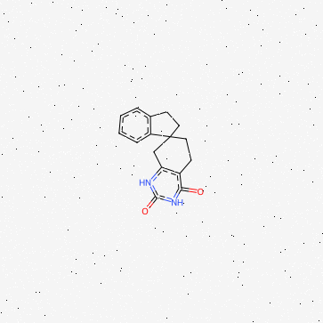 O=c1[nH]c2c(c(=O)[nH]1)CCC1(CCc3ccccc31)C2